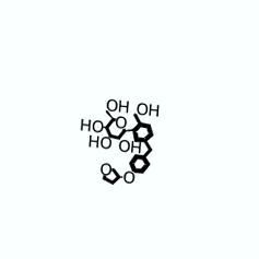 OCc1ccc(Cc2ccc(O[C@@H]3CCOC3)cc2)cc1[C@@H]1O[C@H](CO)[C@@H](O)[C@H](O)[C@H]1O